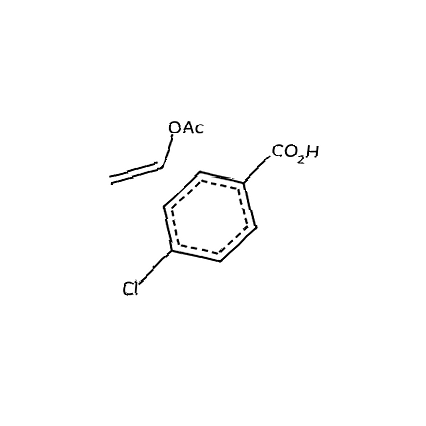 C=COC(C)=O.O=C(O)c1ccc(Cl)cc1